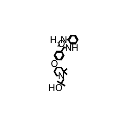 CC(C)(O)CN1CCC(Oc2ccc(C(=O)Nc3ccccc3N)cc2)CC1(C)C